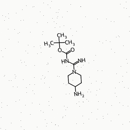 CC(C)(C)OC(=O)NC(=N)N1CCC(N)CC1